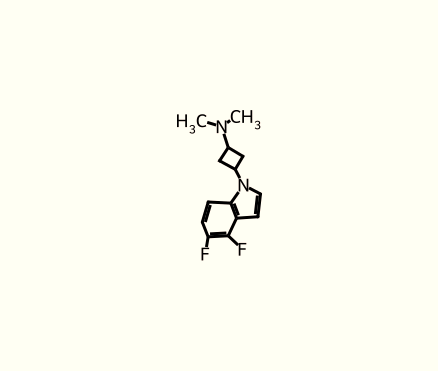 CN(C)C1CC(n2ccc3c(F)c(F)ccc32)C1